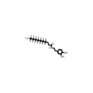 O=C(CCC(F)(F)C(F)(F)C(F)(F)C(F)(F)C(F)(F)C(F)(F)C(F)(F)C(F)(F)F)NCCc1ccc(O)c(O)c1